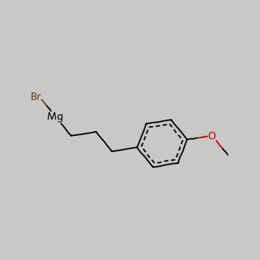 COc1ccc(CC[CH2][Mg][Br])cc1